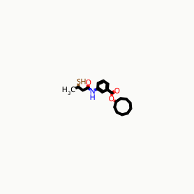 CC(S)CC(=O)Nc1cccc(C(=O)OC2CCCCCCCC2)c1